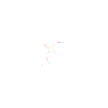 O=P(O)(OF)OF.[LiH]